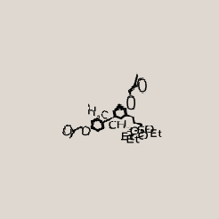 CCO[Si](CCCc1cc(C(C)(C)c2ccc(OCC3CO3)cc2)ccc1OCC1CO1)(OCC)OCC